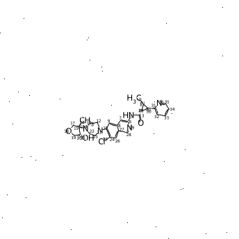 C[C@@H]1[C@@H](C(=O)Nc2cc3cc(N4CCN([C@@]5(C)COC[C@H]5O)CC4)c(Cl)cc3cn2)[C@@H]1c1ccccn1